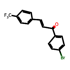 O=C(/C=C/c1ccc(C(F)(F)F)cc1)c1ccc(Br)cc1